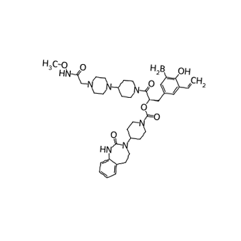 Bc1cc(C[C@@H](OC(=O)N2CCC(N3CCc4ccccc4NC3=O)CC2)C(=O)N2CCC(N3CCN(CC(=O)NOC)CC3)CC2)cc(C=C)c1O